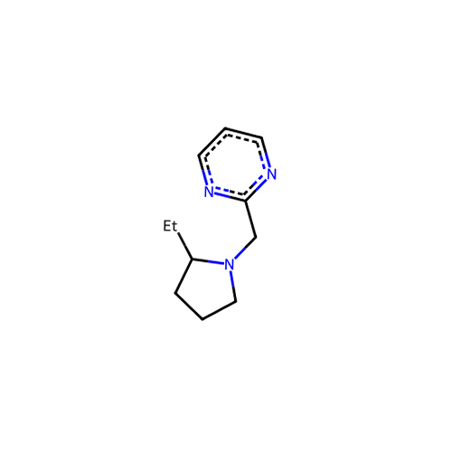 CCC1CCCN1Cc1ncccn1